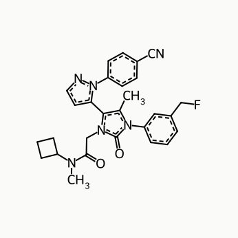 Cc1c(-c2ccnn2-c2ccc(C#N)cc2)n(CC(=O)N(C)C2CCC2)c(=O)n1-c1cccc(CF)c1